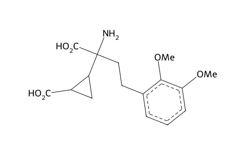 COc1cccc(CCC(N)(C(=O)O)C2CC2C(=O)O)c1OC